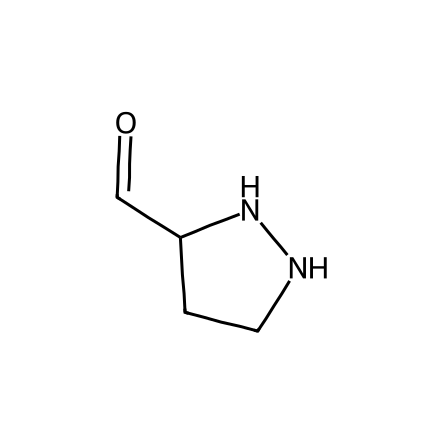 O=CC1CCNN1